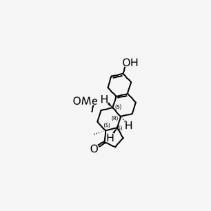 COC.C[C@]12CC[C@@H]3C4=C(CC[C@H]3[C@@H]1CCC2=O)CC(O)=CC4